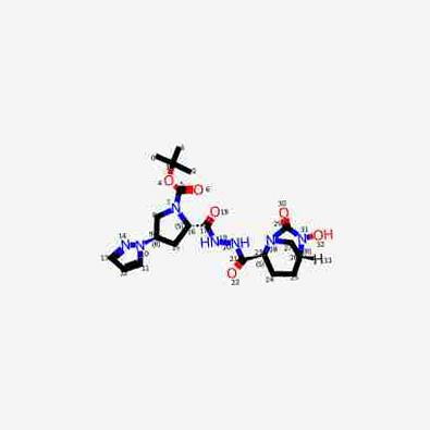 CC(C)(C)OC(=O)N1C[C@H](n2cccn2)C[C@H]1C(=O)NNC(=O)[C@@H]1CC[C@@H]2CN1C(=O)N2O